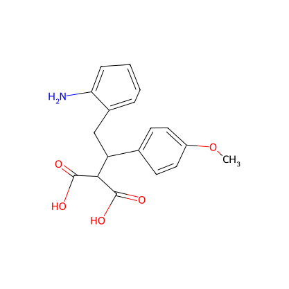 COc1ccc(C(Cc2ccccc2N)C(C(=O)O)C(=O)O)cc1